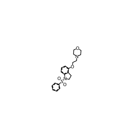 O=S(=O)(c1ccccc1)N1CCc2c(OCCN3CCOCC3)cccc21